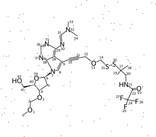 COCOC1C[C@H](n2cc(C#CCOCSSC(C)(C)CNC(=O)C(F)(F)F)c3c(/N=C/N(C)C)ncnc32)O[C@@H]1CO